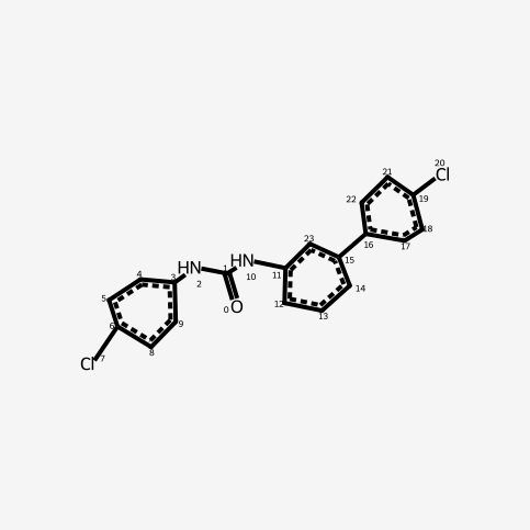 O=C(Nc1ccc(Cl)cc1)Nc1cccc(-c2ccc(Cl)cc2)c1